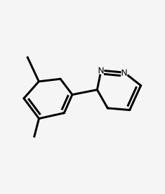 CC1=CC(C)CC(C2CC=CN=N2)=C1